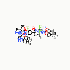 CC(C)n1nccc1C(=O)N[C@H](C(=O)Nc1ccc([C@H](C)C(=O)NCC(F)(F)CNC(=O)OC(C)(C)C)cc1F)C(C1CC1)C1CC1